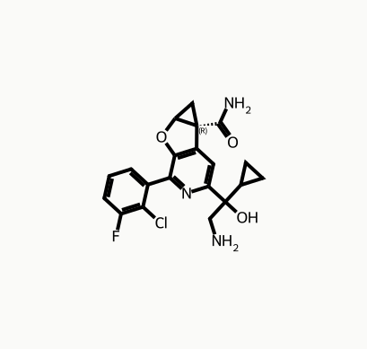 NCC(O)(c1cc2c(c(-c3cccc(F)c3Cl)n1)OC1C[C@@]21C(N)=O)C1CC1